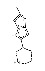 Cc1cc2[nH]c(C3CNCC[N]3)cc2o1